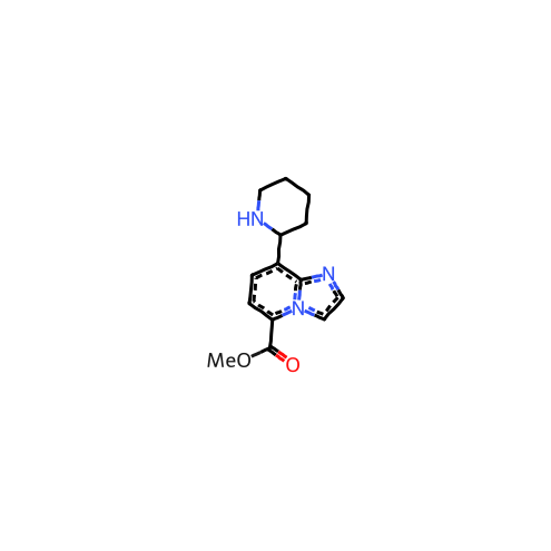 COC(=O)c1ccc(C2CCCCN2)c2nccn12